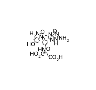 NC(=O)N(c1ccc(O)cc1)N(Cc1cnc2[nH]c(N)nc(=O)c2n1)c1ccc(C(=O)N[C@@H](CCC(=O)O)C(=O)O)cc1